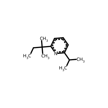 CCC(C)(C)c1cccc(C(C)C)n1